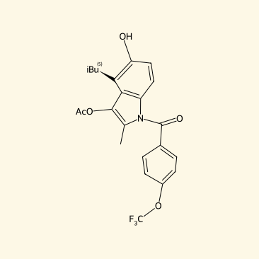 CC[C@H](C)c1c(O)ccc2c1c(OC(C)=O)c(C)n2C(=O)c1ccc(OC(F)(F)F)cc1